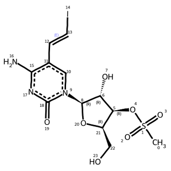 CS(=O)(=O)O[C@@H]1[C@@H](O)[C@H](n2cc(/C=C/I)c(N)nc2=O)O[C@@H]1CO